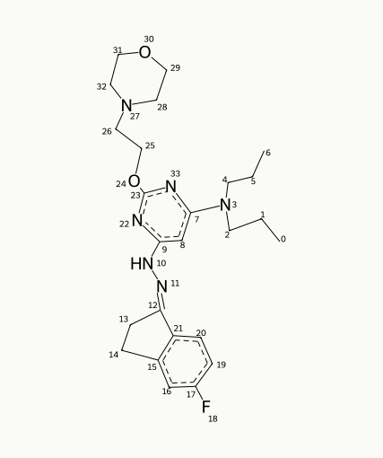 CCCN(CCC)c1cc(N/N=C2\CCc3cc(F)ccc32)nc(OCCN2CCOCC2)n1